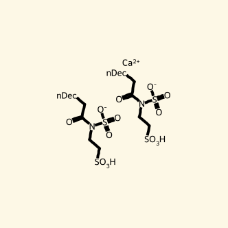 CCCCCCCCCCCC(=O)N(CCS(=O)(=O)O)S(=O)(=O)[O-].CCCCCCCCCCCC(=O)N(CCS(=O)(=O)O)S(=O)(=O)[O-].[Ca+2]